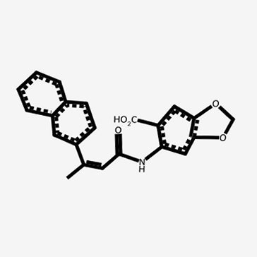 C/C(=C/C(=O)Nc1cc2c(cc1C(=O)O)OCO2)c1ccc2ccccc2c1